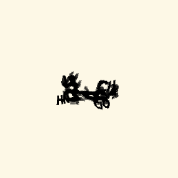 CC1c2cc(C(Cc3ccncc3)C3CCNCC3)cc(Cl)c2C(=O)N1C1CC1